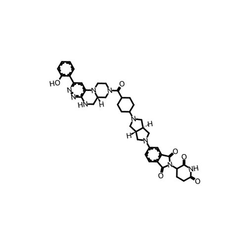 O=C1CCC(N2C(=O)c3ccc(N4C[C@@H]5CN(C6CCC(C(=O)N7CCN8c9cc(-c%10ccccc%10O)nnc9NC[C@H]8C7)CC6)C[C@H]5C4)cc3C2=O)C(=O)N1